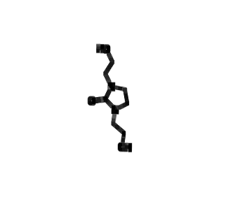 O=C1N(CCO)CCN1CCO